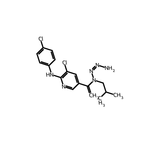 C=C(c1cnc(Nc2ccc(Cl)cc2)c(Cl)c1)N(CC(C)C)/N=N\N